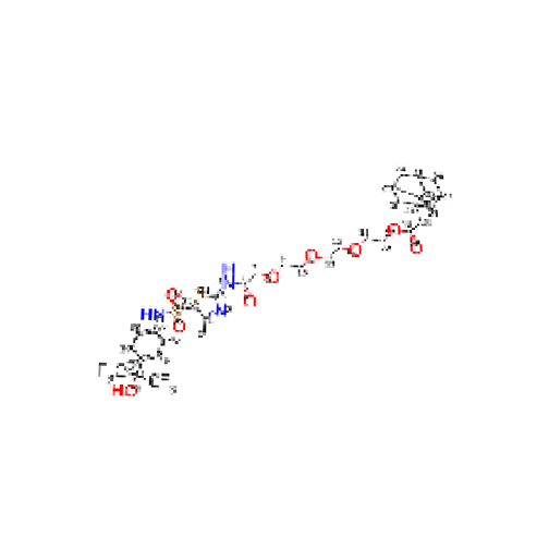 Cc1nc(NC(=O)COCCOCCOCCOC(=O)CC23CC4CC(CC(C4)C2)C3)sc1S(=O)(=O)Nc1ccc(C(O)(C(F)(F)F)C(F)(F)F)cc1